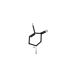 C[C@@H]1CC=C(I)C(=O)C1